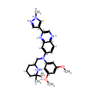 COc1cc(OC)cc(N(CC2CCCC(C)(C)N2)c2ccc3ncc(-c4cnn(C)c4)nc3c2)c1